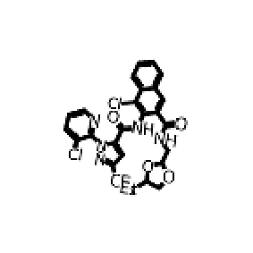 CCC1COC(CNC(=O)c2cc3ccccc3c(Cl)c2NC(=O)c2cc(C(F)(F)F)nn2-c2ncccc2Cl)O1